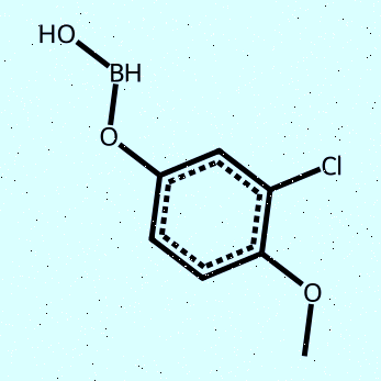 COc1ccc(OBO)cc1Cl